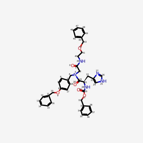 O=C(CN(Cc1ccc(OCc2ccccc2)cc1)C(=O)[C@@H](Cc1c[nH]cn1)NC(=O)OCc1ccccc1)NCCOCc1ccccc1